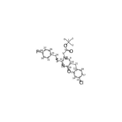 CC(C)(C)OC(=O)Cn1cc(Cc2ccc(Cl)cc2)c(=O)nc1SCc1ccc(F)cc1